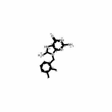 Cc1cccc(CN2c3nc(N)[nH]c(=O)c3NC2N)c1C